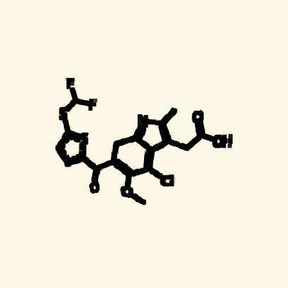 COC1=C(C(=O)c2ccc(SC(F)F)s2)CC2=NC(C)=C(CC(=O)O)C2=C1Cl